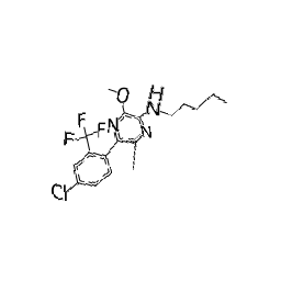 CCCCCNc1nc(C)c(-c2ccc(Cl)cc2C(F)(F)F)nc1OC